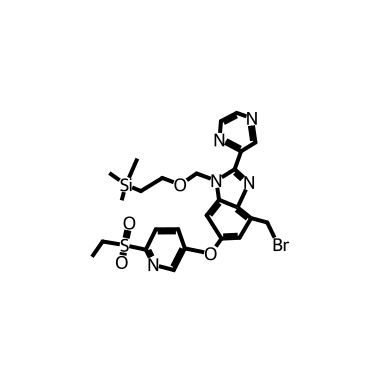 CCS(=O)(=O)c1ccc(Oc2cc(CBr)c3nc(-c4cnccn4)n(COCC[Si](C)(C)C)c3c2)cn1